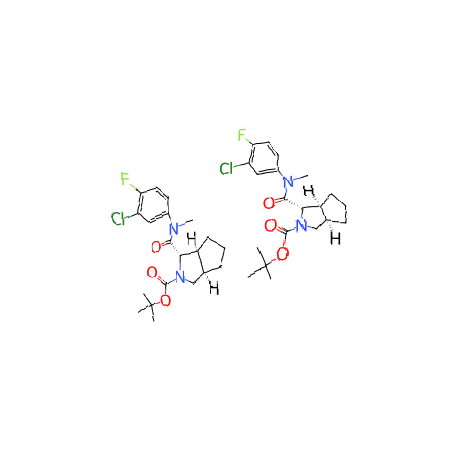 CN(C(=O)[C@@H]1[C@H]2CCC[C@H]2CN1C(=O)OC(C)(C)C)c1ccc(F)c(Cl)c1.CN(C(=O)[C@@H]1[C@H]2CCC[C@H]2CN1C(=O)OC(C)(C)C)c1ccc(F)c(Cl)c1